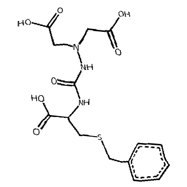 O=C(O)CN(CC(=O)O)NC(=O)NC(CSCc1ccccc1)C(=O)O